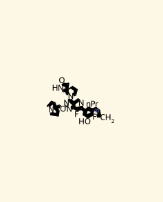 C=C(F)/C=C\c1cc(O)cc(-c2ncc3c(N4CCC[C@]5(CNC(=O)C5)C4)nc(OCC45CCCN4CCC5)nc3c2F)c1CCC